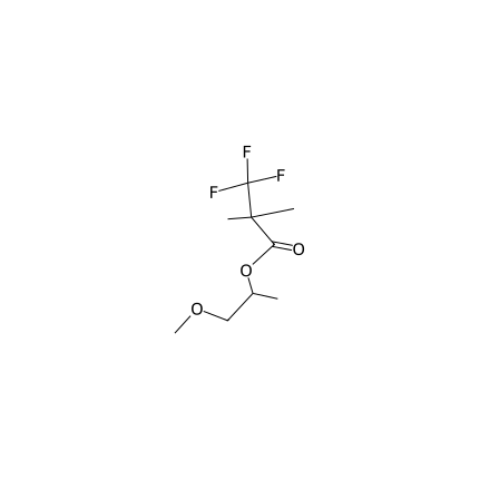 COCC(C)OC(=O)C(C)(C)C(F)(F)F